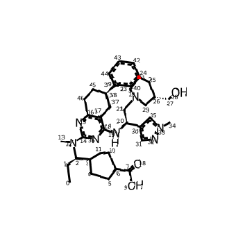 CC[C@H](C1CCC(C(=O)O)CC1)N(C)c1nc2c(c(N[C@@H](CN3CCC[C@H](CO)C3)c3cnn(C)c3)n1)C[C@H](c1ccccc1)CC2